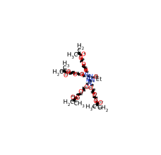 C=C(C)C(=O)OCCOCCOCN(COCCOCCOC(=O)C(=C)C)c1nc(OCC)nc(N(COCCOCCOC(=O)C(=C)C)COCCOCCOC(=O)C(=C)C)n1